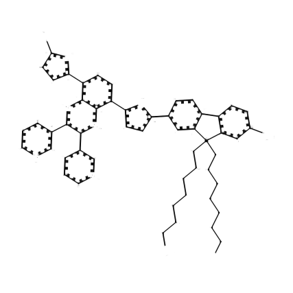 CCCCCCCCC1(CCCCCCCC)c2cc(C)ccc2-c2ccc(-c3ccc(-c4ccc(-c5ccc(C)s5)c5nc(-c6cccnc6)c(-c6cccnc6)nc45)s3)cc21